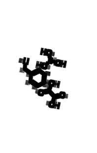 O=C(O)C(=O)O.OB(O)O.[Li][CH2]c1ccccc1